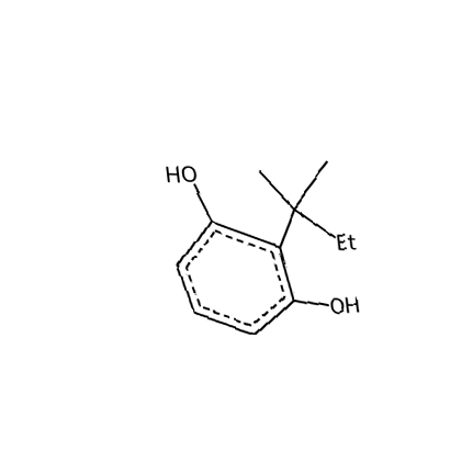 CCC(C)(C)c1c(O)cccc1O